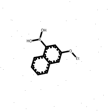 CCOc1cc(B(O)O)c2ccccc2c1